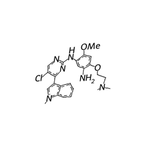 COc1cc(OCCN(C)C)c(N)cc1Nc1ncc(Cl)c(-c2cn(C)c3ccccc23)n1